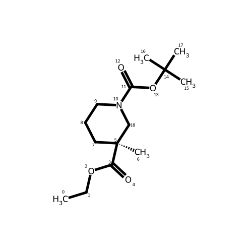 CCOC(=O)[C@@]1(C)CCCN(C(=O)OC(C)(C)C)C1